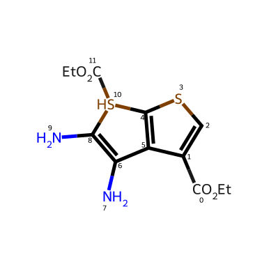 CCOC(=O)c1csc2c1C(N)=C(N)[SH]2C(=O)OCC